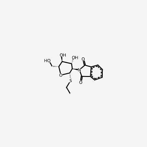 CCS[C@@H]1O[C@H](CO)[C@@H](O)[C@H](O)[C@H]1N1C(=O)c2ccccc2C1=O